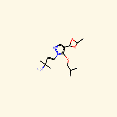 CC(C)COc1c(C2OC(C)O2)cnn1/C=C/C(C)(C)N